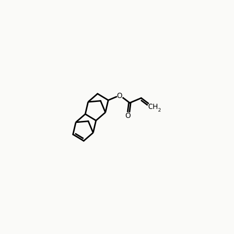 C=CC(=O)OC1CC2CC1C1C3C=CC(C3)C21